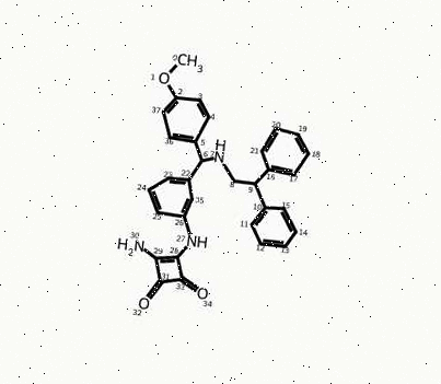 COc1ccc(C(NCC(c2ccccc2)c2ccccc2)c2cccc(Nc3c(N)c(=O)c3=O)c2)cc1